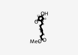 COC(=O)CCC#CCCC1=CC(O)CC1=O